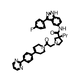 CC(C)C1(C(=O)Nc2ccc3[nH]nc(-c4ccc(F)cc4)c3c2)CCN(CC(=O)N2CC=C(c3ccc(-c4ncccn4)cc3)CC2)C1